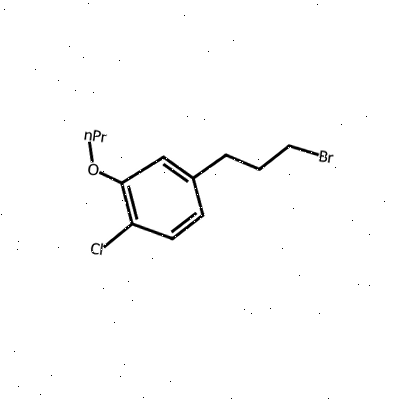 CCCOc1cc(CCCBr)ccc1Cl